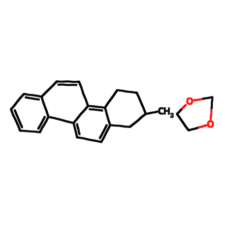 C1COCO1.CC1CCc2c(ccc3c2ccc2ccccc23)C1